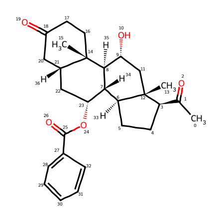 CC(=O)[C@H]1CC[C@H]2[C@H]3[C@H]([C@H](O)C[C@]12C)[C@@]1(C)CCC(=O)C[C@H]1C[C@H]3OC(=O)c1ccccc1